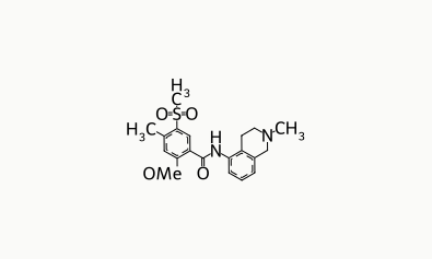 COc1cc(C)c(S(C)(=O)=O)cc1C(=O)Nc1cccc2c1CCN(C)C2